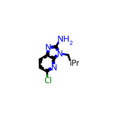 CC(C)Cn1c(N)nc2ccc(Cl)nc21